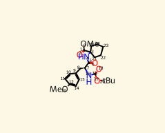 COC(=O)C1(NC(=O)[C@H](Cc2ccc(OC)cc2)NC(=O)OC(C)(C)C)CCCCC1